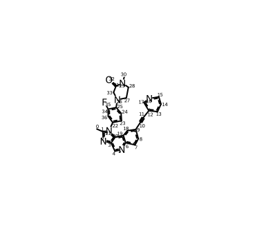 Cc1nc2cnc3ccc(C#Cc4cccnc4)cc3c2n1-c1ccc(N2CCN(C)C(=O)C2)c(F)c1